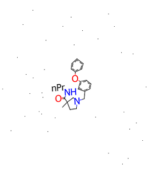 CCCNC(=O)C1(C)CCN(Cc2cccc(Oc3ccccc3)c2)C1